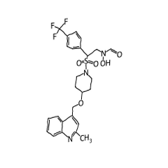 Cc1cc(COC2CCN(S(=O)(=O)C(CN(O)C=O)c3ccc(C(F)(F)F)cc3)CC2)c2ccccc2n1